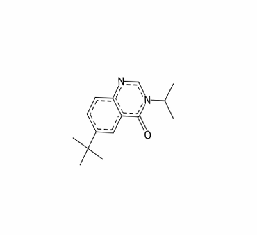 CC(C)n1cnc2ccc(C(C)(C)C)cc2c1=O